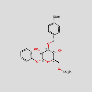 CCOC(=O)OC[C@H]1O[C@H](Oc2ccccc2)[C@H](O)[C@@H](OCc2ccc(OC)cc2)[C@@H]1O